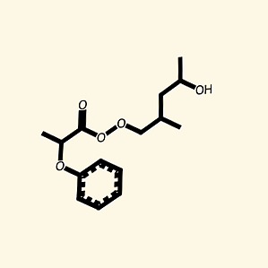 CC(O)CC(C)COOC(=O)C(C)Oc1ccccc1